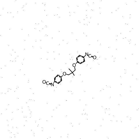 CC(C)(COc1ccc(N=C=O)cc1)COc1ccc(N=C=O)cc1